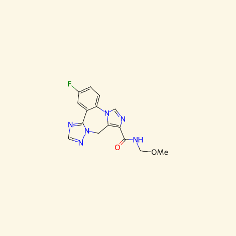 COCNC(=O)c1ncn2c1Cn1ncnc1-c1cc(F)ccc1-2